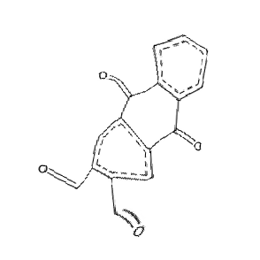 O=Cc1cc2c(cc1C=O)C(=O)c1ccccc1C2=O